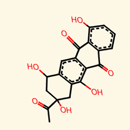 CC(=O)C1(O)Cc2c(cc3c(c2O)C(=O)c2cccc(O)c2C3=O)C(O)C1